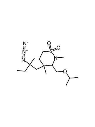 CCC(C)(CC1(C)CCS(=O)(=O)N(C)C1COC(C)C)N=[N+]=[N-]